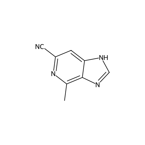 Cc1nc(C#N)cc2[nH]cnc12